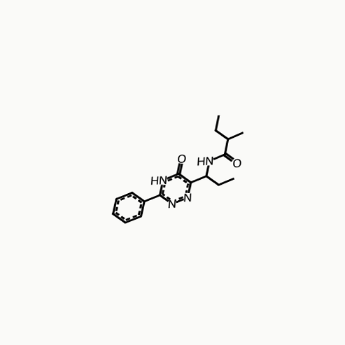 CCC(C)C(=O)NC(CC)c1nnc(-c2ccccc2)[nH]c1=O